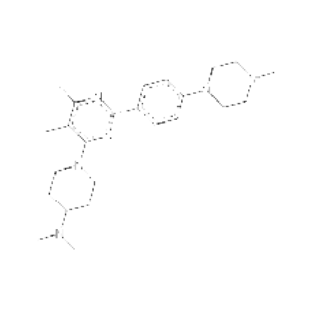 Cc1nc(-c2ccc(N3CCN(C)CC3)cc2)nc(N2CCC(N(C)C)CC2)c1C